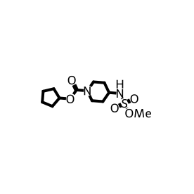 COS(=O)(=O)NC1CCN(C(=O)OC2CCCC2)CC1